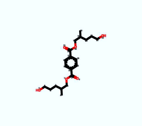 CC(CCCO)COC(=O)c1ccc(C(=O)OCC(C)CCCO)cc1